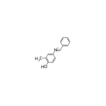 Cc1cc(/N=C/c2ccccc2)ccc1O